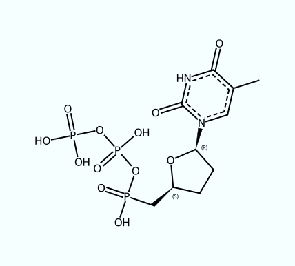 Cc1cn([C@H]2CC[C@@H](CP(=O)(O)OP(=O)(O)OP(=O)(O)O)O2)c(=O)[nH]c1=O